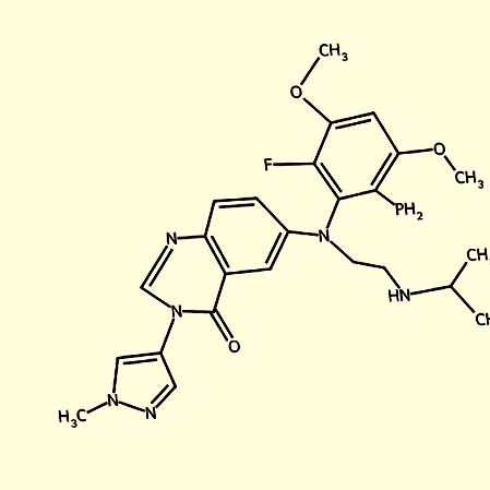 COc1cc(OC)c(P)c(N(CCNC(C)C)c2ccc3ncn(-c4cnn(C)c4)c(=O)c3c2)c1F